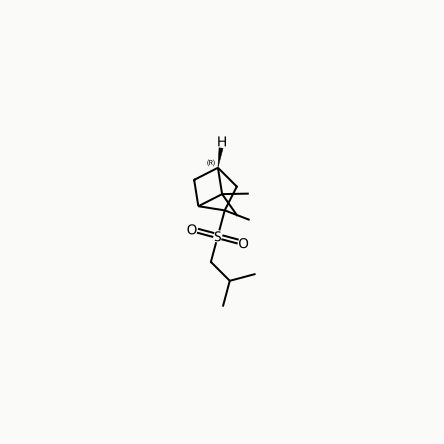 CC(C)CS(=O)(=O)C1(C)C[C@H]2CC1C2(C)C